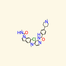 CNC(=O)n1ccc2cc(N(C)c3ccnc(NC(=O)c4ccc(C5CCN(C)CC5)cc4)c3)c(Cl)cc21